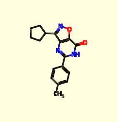 Cc1ccc(-c2nc3c(C4CCCC4)noc3c(=O)[nH]2)cc1